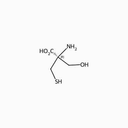 N[C@@](CO)(CS)C(=O)O